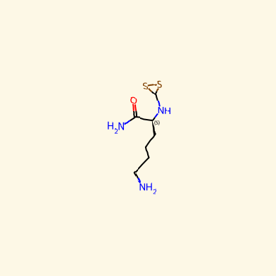 NCCCC[C@H](NC1SS1)C(N)=O